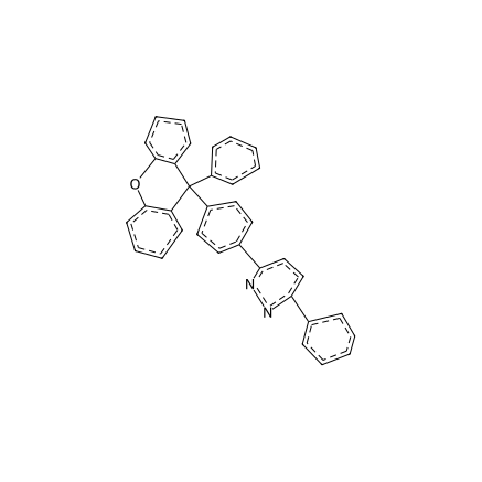 c1ccc(-c2ccc(-c3ccc(C4(c5ccccc5)c5ccccc5Oc5ccccc54)cc3)nn2)cc1